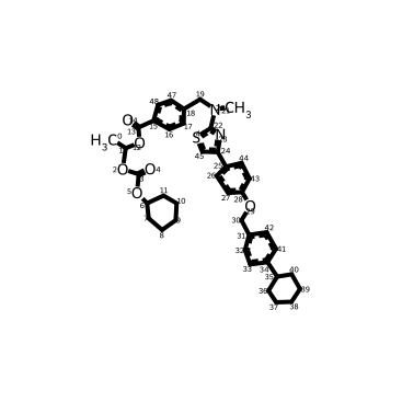 CC(OC(=O)OC1CCCCC1)OC(=O)c1ccc(CN(C)c2nc(-c3ccc(OCc4ccc(C5CCCCC5)cc4)cc3)cs2)cc1